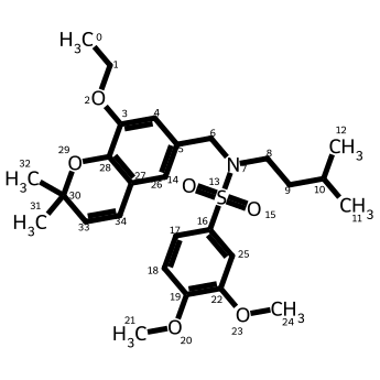 CCOc1cc(CN(CCC(C)C)S(=O)(=O)c2ccc(OC)c(OC)c2)cc2c1OC(C)(C)C=C2